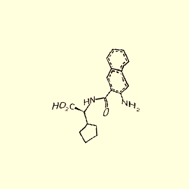 Nc1cc2ccccc2cc1C(=O)N[C@H](C(=O)O)C1CCCC1